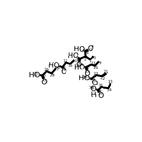 CCC(C(=O)O)C(=O)O.CCCC(=O)O.CCCC(=O)O.CCCC(=O)O.CCCC(=O)O.CCCC(=O)O